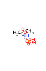 C=C(CNCCOP(=O)(O)O)C(=O)OC